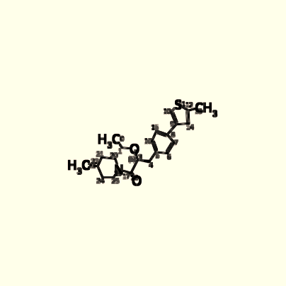 CCO[C@@H](Cc1ccc(-c2csc(C)c2)cc1)C(=O)N1CCC(C)CC1